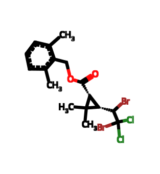 Cc1cccc(C)c1COC(=O)[C@@H]1[C@H](C(Br)C(Cl)(Cl)Br)C1(C)C